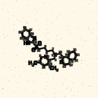 Cc1cnc(CN(CCCCS(=O)(=O)c2nc3ccccc3[nH]2)Cc2nccc3ccccc23)c(C)c1